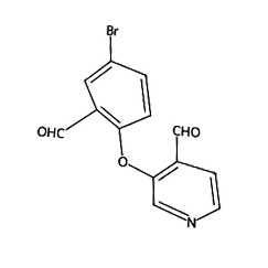 O=Cc1cc(Br)ccc1Oc1cnccc1C=O